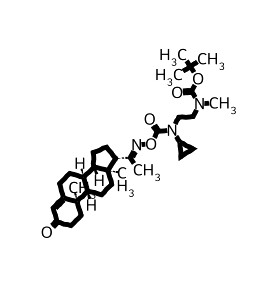 C/C(=N\OC(=O)N(CCN(C)C(=O)OC(C)(C)C)C1CC1)[C@H]1CC[C@H]2[C@@H]3CCC4=CC(=O)CC[C@]4(C)[C@H]3CC[C@]12C